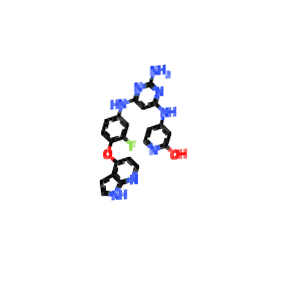 Nc1nc(Nc2ccnc(O)c2)cc(Nc2ccc(Oc3ccnc4[nH]ccc34)c(F)c2)n1